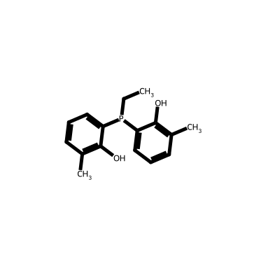 CCP(c1cccc(C)c1O)c1cccc(C)c1O